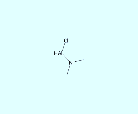 C[N](C)[AlH][Cl]